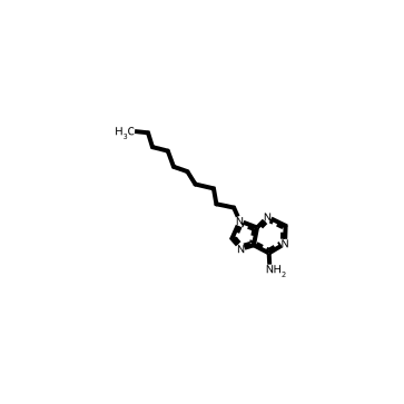 CCCCCCCCCCn1cnc2c(N)ncnc21